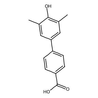 Cc1cc(-c2ccc(C(=O)O)cc2)cc(C)c1O